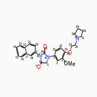 COc1cc(N2CC(=O)N(c3ccc4ccccc4c3)C2=O)ccc1OCCN1CCCC1